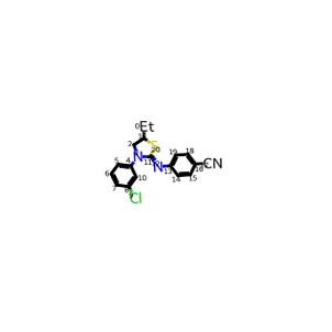 CCC1CN(c2cccc(Cl)c2)C(=Nc2ccc(C#N)cc2)S1